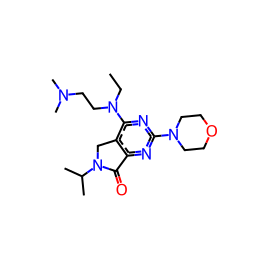 CCN(CCN(C)C)c1nc(N2CCOCC2)nc2c1CN(C(C)C)C2=O